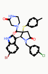 Cc1ccc(S[C@@]2(C(=O)N3CCNC(=O)C3)CC(=O)N(Cc3ccc(Cl)cc3)[C@H]2c2c[nH]c3cc(Br)ccc23)cc1